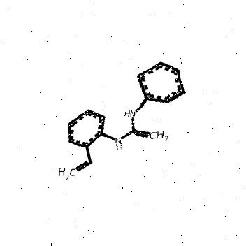 C=Cc1ccccc1NC(=C)Nc1ccccc1